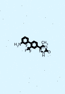 C[C@@H]1OC(=O)NN=C1c1ccc(-c2cccc(N)c2)c(C(F)(F)F)c1